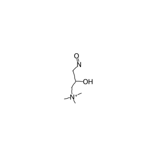 C[N+](C)(C)CC(O)CN=O